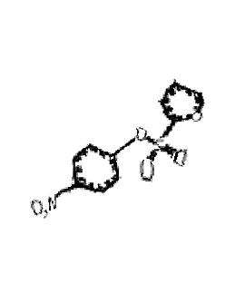 O=[N+]([O-])c1ccc(OS(=O)(=O)c2ccco2)cc1